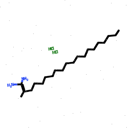 CCCCCCCCCCCCCCCCCCC(C)=C(N)N.Cl.Cl